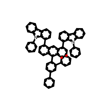 c1ccc(-c2ccc(-c3c4cccc(-c5cccc6c7ccccc7n(-c7ccccc7)c56)c4cc4c(-c5cccc6c7ccccc7n(-c7ccccc7)c56)cccc34)c(-c3ccccc3)c2)cc1